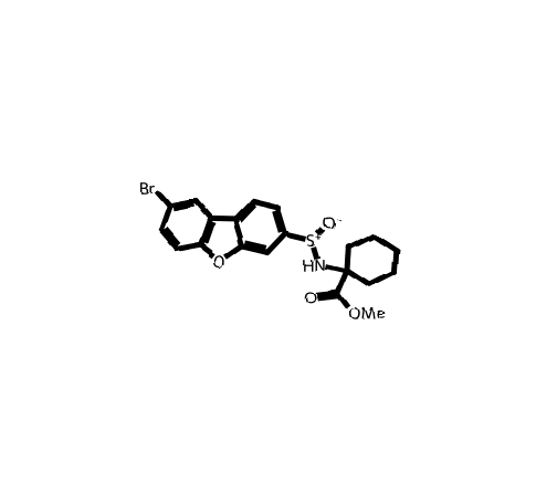 COC(=O)C1(N[S+]([O-])c2ccc3c(c2)oc2ccc(Br)cc23)CCCCC1